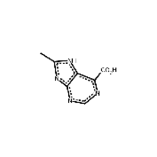 Cc1nc2ncnc(C(=O)O)c2[nH]1